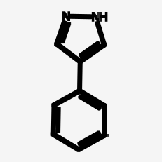 [c]1cccc(-c2cn[nH]c2)c1